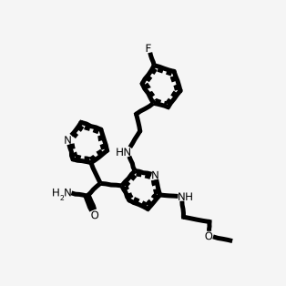 COCCNc1ccc(C(C(N)=O)c2cccnc2)c(NCCc2cccc(F)c2)n1